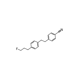 N#Cc1ccc(CCc2ccc(CCCF)cc2)cc1